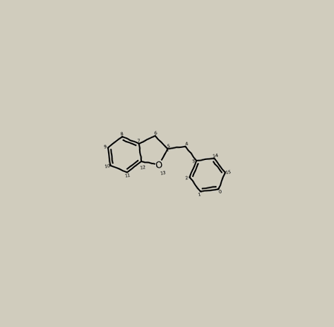 c1ccc(C[C]2Cc3ccccc3O2)cc1